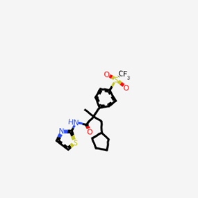 CC(CC1CCCC1)(C(=O)Nc1nccs1)c1ccc(S(=O)(=O)C(F)(F)F)cc1